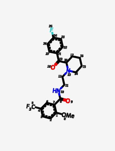 COc1ccc(C(F)(F)F)cc1C(=O)NCCN1CCCCC1C(=O)c1ccc(F)cc1